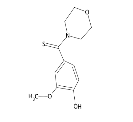 COc1cc(C(=S)N2CCOCC2)ccc1O